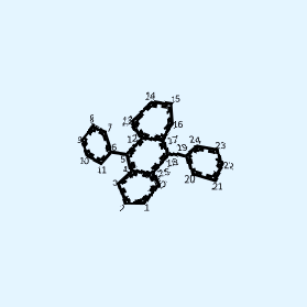 [c]1cccc2c(-c3ccccc3)c3ccccc3c(-c3ccccc3)c12